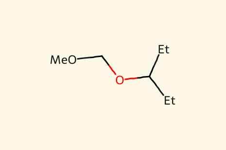 CCC(CC)OCOC